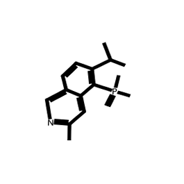 C=P(C)(C)c1c(C(C)C)ccc2cnc(C)cc12